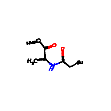 CCC(C)CC(=O)NC(C)C(=O)OC